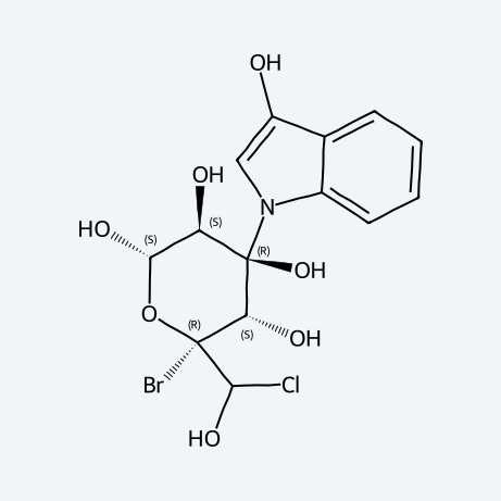 Oc1cn([C@@]2(O)[C@H](O)[C@@H](O)O[C@](Br)(C(O)Cl)[C@H]2O)c2ccccc12